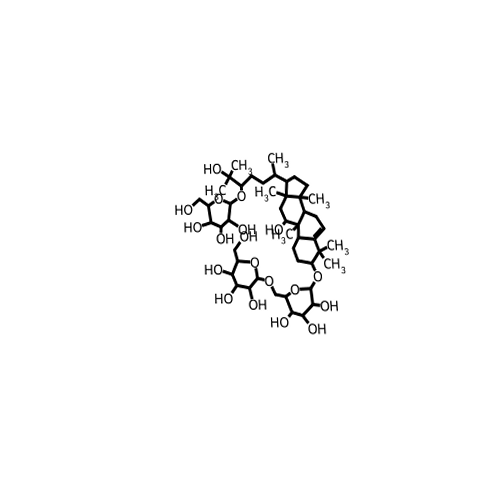 CC(CCC(OC1OC(CO)C(O)C(O)C1O)C(C)(C)O)C1CCC2(C)C3CC=C4C(CCC(OC5OC(COC6OC(CO)C(O)C(O)C6O)C(O)C(O)C5O)C4(C)C)C3(C)C(O)CC12C